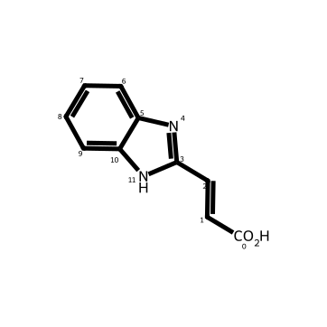 O=C(O)C=Cc1nc2ccccc2[nH]1